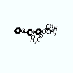 COc1cc(-n2ccc(COc3ccccc3)cc2=O)ccc1OCC(C)(C)O